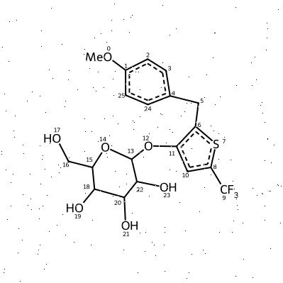 COc1ccc(Cc2sc(C(F)(F)F)cc2OC2OC(CO)C(O)C(O)C2O)cc1